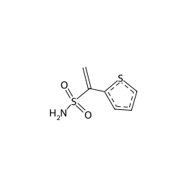 C=C(c1cccs1)S(N)(=O)=O